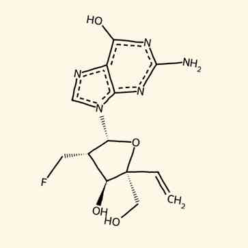 C=C[C@]1(CO)O[C@@H](n2cnc3c(O)nc(N)nc32)[C@@H](CF)[C@@H]1O